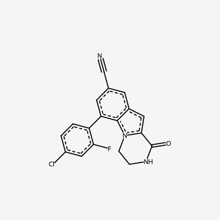 N#Cc1cc(-c2ccc(Cl)cc2F)c2c(c1)cc1n2CCNC1=O